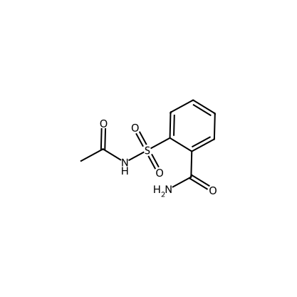 CC(=O)NS(=O)(=O)c1ccccc1C(N)=O